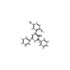 Fc1ccc(F)c(N2C=C(c3ccccc3)CN(c3ccccc3)N2)c1